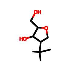 CC(C)(C)C1COC(CO)C1O